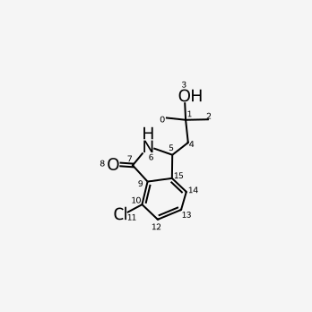 CC(C)(O)CC1NC(=O)c2c(Cl)cccc21